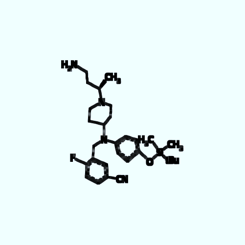 C[C@H](CCN)N1CCC(N(Cc2cc(C#N)ccc2F)c2ccc(O[Si](C)(C)C(C)(C)C)cc2)CC1